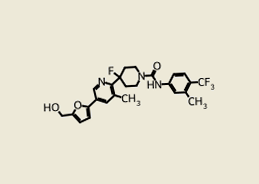 Cc1cc(NC(=O)N2CCC(F)(c3ncc(-c4ccc(CO)o4)cc3C)CC2)ccc1C(F)(F)F